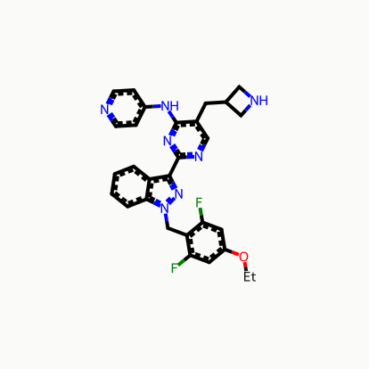 CCOc1cc(F)c(Cn2nc(-c3ncc(CC4CNC4)c(Nc4ccncc4)n3)c3ccccc32)c(F)c1